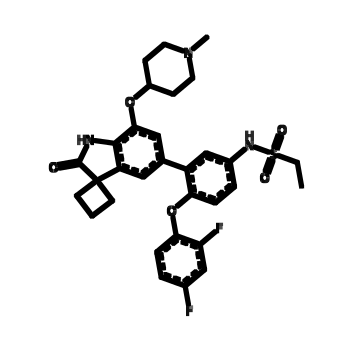 CCS(=O)(=O)Nc1ccc(Oc2ccc(F)cc2F)c(-c2cc(OC3CCN(C)CC3)c3c(c2)C2(CCC2)C(=O)N3)c1